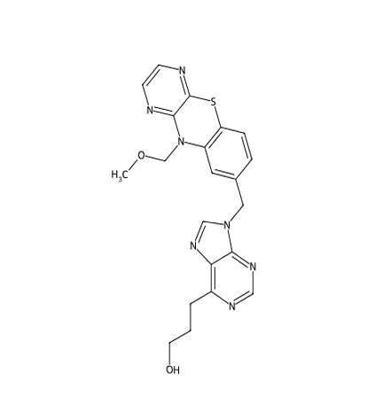 COCN1c2cc(Cn3cnc4c(CCCO)ncnc43)ccc2Sc2nccnc21